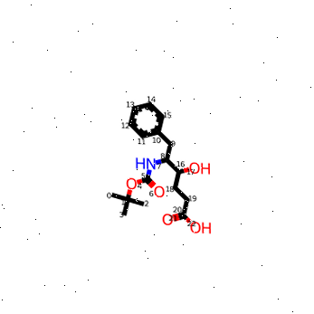 CC(C)(C)OC(=O)NC(Cc1ccccc1)C(O)CCC(=O)O